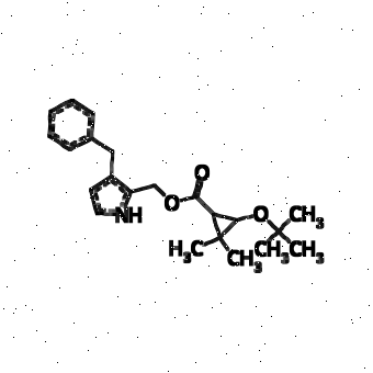 CC(C)(C)OC1C(C(=O)OCc2[nH]ccc2Cc2ccccc2)C1(C)C